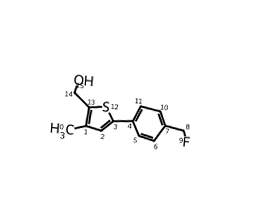 Cc1cc(-c2ccc(CF)cc2)sc1CO